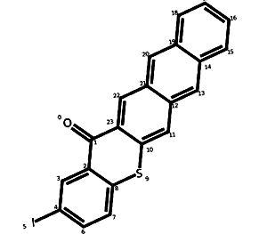 O=c1c2cc(I)ccc2sc2cc3cc4ccccc4cc3cc12